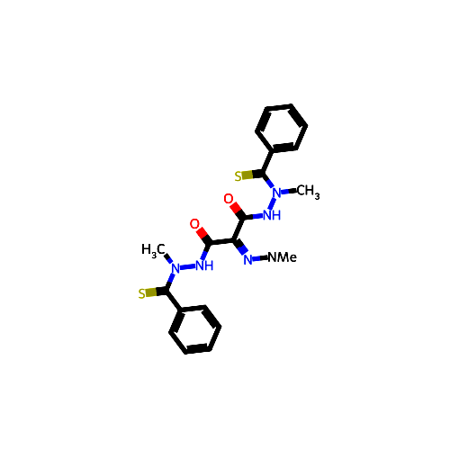 CNN=C(C(=O)NN(C)C(=S)c1ccccc1)C(=O)NN(C)C(=S)c1ccccc1